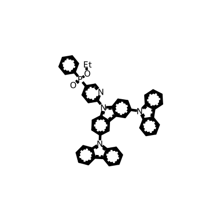 CCOP(=O)(c1ccccc1)c1ccc(-n2c3ccc(-n4c5ccccc5c5ccccc54)cc3c3cc(-n4c5ccccc5c5ccccc54)ccc32)nc1